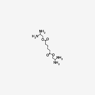 NC(N)COC(=O)CCCCC(=O)OCC(N)N